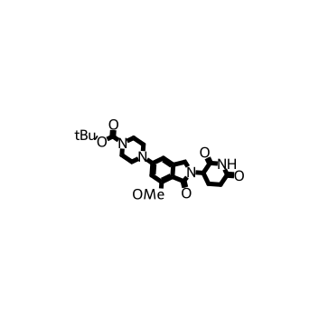 COc1cc(N2CCN(C(=O)OC(C)(C)C)CC2)cc2c1C(=O)N(C1CCC(=O)NC1=O)C2